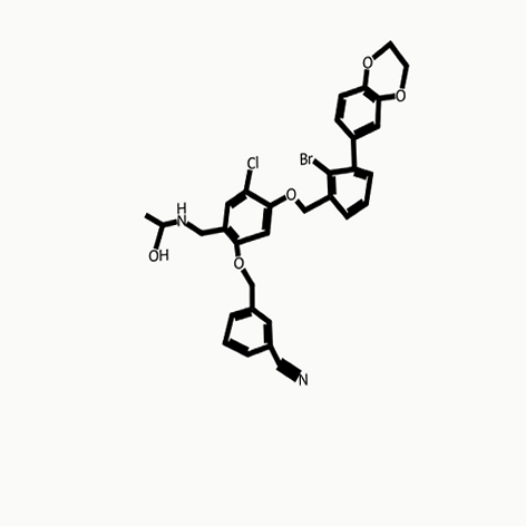 CC(O)NCc1cc(Cl)c(OCc2cccc(-c3ccc4c(c3)OCCO4)c2Br)cc1OCc1cccc(C#N)c1